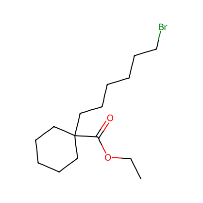 CCOC(=O)C1(CCCCCCBr)CCCCC1